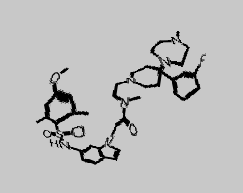 COc1cc(C)c(S(=O)(=O)Nc2ccc3ccn(CC(=O)N(C)CCN4CCC(c5cccc(F)c5)(N5CCN(C)CC5)CC4)c3c2)c(C)c1